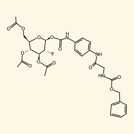 CC(=O)OC[C@H]1O[C@@H](OC(=O)Nc2ccc(NC(=O)CNC(=O)OCc3ccccc3)cc2)[C@H](F)[C@@H](OC(C)=O)[C@@H]1OC(C)=O